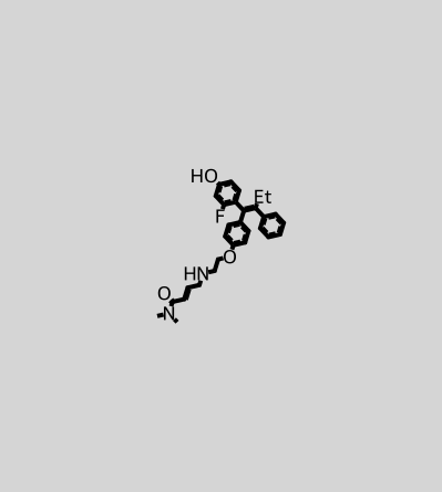 CCC(=C(c1ccc(OCCNCC=CC(=O)N(C)C)cc1)c1ccc(O)cc1F)c1ccccc1